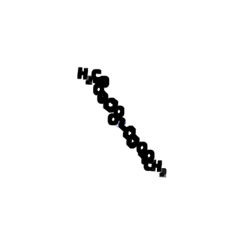 C=CC(=O)COc1ccc2cc(/C=C/C(=O)Oc3ccc(OCOC(=O)C=C)cc3)ccc2c1